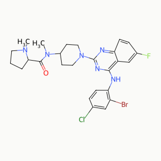 CN1CCCC1C(=O)N(C)C1CCN(c2nc(Nc3ccc(Cl)cc3Br)c3cc(F)ccc3n2)CC1